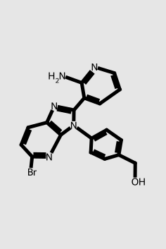 Nc1ncccc1-c1nc2ccc(Br)nc2n1-c1ccc(CO)cc1